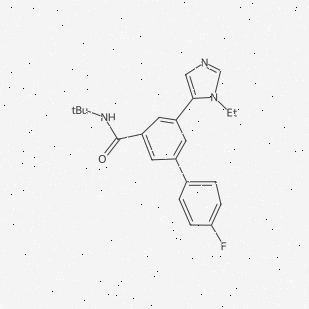 CCn1cncc1-c1cc(C(=O)NC(C)(C)C)cc(-c2ccc(F)cc2)c1